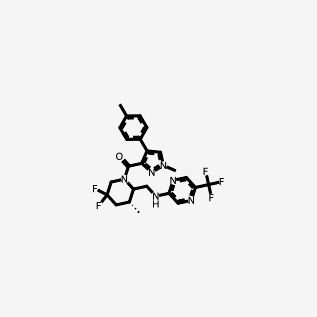 Cc1ccc(-c2cn(C)nc2C(=O)N2CC(F)(F)C[C@@H](C)C2CNc2cnc(C(F)(F)F)cn2)cc1